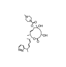 C/C(=C\C=C\C(C)c1cccnn1)[C@H]1OC(=O)C[C@H](O)CC[C@@](C)(O)[C@@H](OC(=O)N2CCN(C)CC2)/C=C/[C@@H]1C